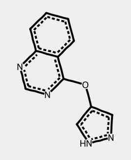 c1ccc2c(Oc3cn[nH]c3)ncnc2c1